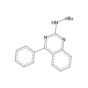 CCCCNc1nc(-c2ccccc2)c2ccccc2n1